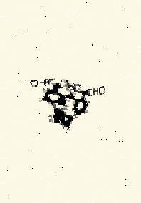 O=CC(=O)c1ccccc1C(=O)c1ccccc1C(=O)C=O.c1cc2ccc1-2